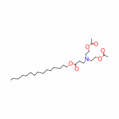 CCCCCCCCCCCCCCCOC(=O)CCN(CCOC(C)=O)CCOC(C)=O